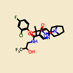 CC(C)(Oc1ccc(F)cc1Cl)C(=O)NC1CC2CCC(C1)N2c1ccc(C(=O)NCC(O)C(F)(F)F)cn1